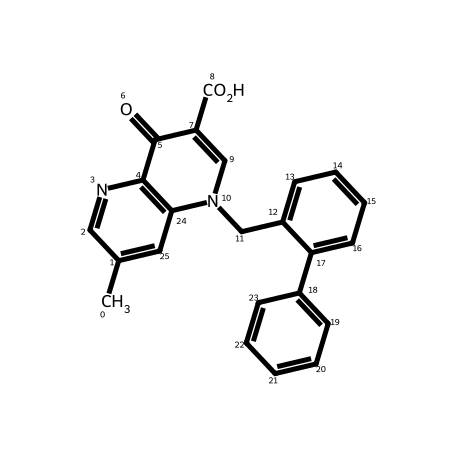 Cc1cnc2c(=O)c(C(=O)O)cn(Cc3ccccc3-c3ccccc3)c2c1